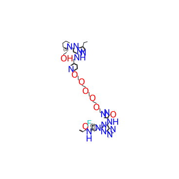 C=CC(=O)N[C@@H]1CN(c2nc(Nc3cn(CCOCCOCCOCCOCCOc4ccc(CNc5cc(N6CCCC[C@H]6CCO)nc6c(CC)cnn56)cn4)nc3OC)c3ncn(C)c3n2)C[C@H]1F